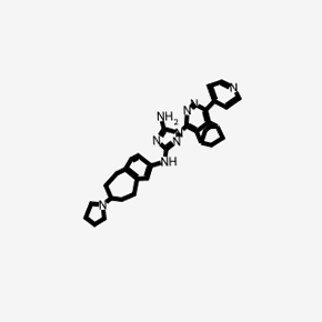 Nc1nc(Nc2ccc3c(c2)CCC(N2CCCC2)CC3)nn1-c1nnc(-c2ccncc2)c2c1C1CCC2CC1